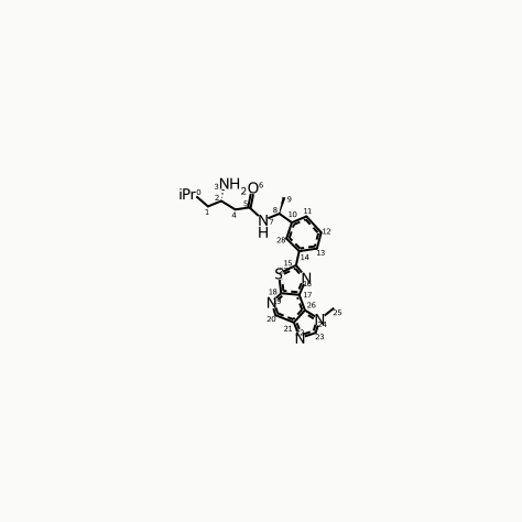 CC(C)C[C@H](N)CC(=O)N[C@@H](C)c1cccc(-c2nc3c(ncc4ncn(C)c43)s2)c1